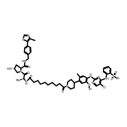 Cc1cc(Nc2ncc(Cl)c(Nc3ccccc3S(=O)(=O)C(C)C)n2)c(OC(C)C)cc1C1CCN(C(=O)CCCCCCCCC(=O)N[C@H](C(=O)N2C[C@H](O)CC2C(=O)NCc2ccc(-c3scnc3C)cc2)C(C)(C)C)CC1